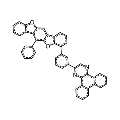 c1ccc(-c2c3oc4c(-c5cccc(-c6cnc7c8ccccc8c8ccccc8c7n6)c5)cccc4c3cc3oc4ccccc4c23)cc1